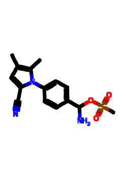 Cc1cc(C#N)n(-c2ccc(C(N)OS(C)(=O)=O)cc2)c1C